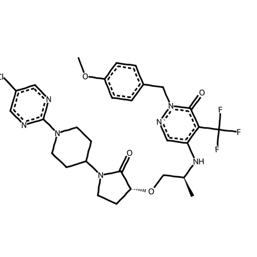 COc1ccc(Cn2ncc(N[C@@H](C)CO[C@@H]3CCN(C4CCN(c5ncc(Cl)cn5)CC4)C3=O)c(C(F)(F)F)c2=O)cc1